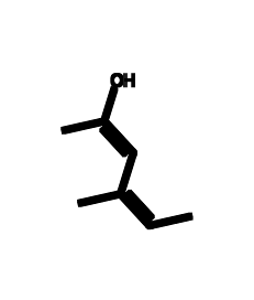 C/C=C(C)\C=C(/C)O